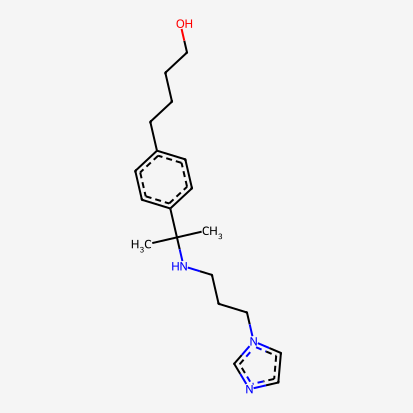 CC(C)(NCCCn1ccnc1)c1ccc(CCCCO)cc1